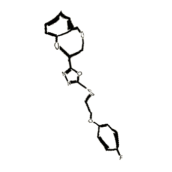 Fc1ccc(OCCSc2nnc(C3COc4ccccc4O3)o2)cc1